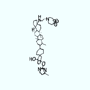 Cc1ccnc(OCCC2(C(=O)O)CC=C(C3=CCC4(C)C(CCC5(C)C4CCC4[C@H]6CCCC6(NCCN6CCS(=O)(=O)CC6)CC[C@]45C)C3C)CC2)n1